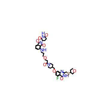 O=C1CCC(N2C(=O)c3cccc(NCCCOCCC(=O)N4CCC(COc5cc(F)c6c(=O)[nH]c(CSC7CCOCC7)nc6c5)CC4)c3C2=O)C(=O)N1